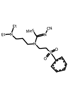 CCN(CC)CCCN(CCS(=O)(=O)c1ccccc1)C(=NC#N)SC